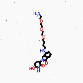 NCCOCCOCCOCCCCNc1cccc2c1CN(C1CCC(O)NC1=O)C2=O